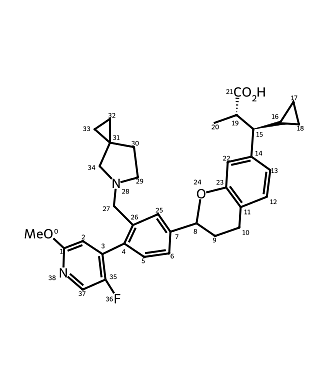 COc1cc(-c2ccc(C3CCc4ccc([C@H](C5CC5)[C@H](C)C(=O)O)cc4O3)cc2CN2CCC3(CC3)C2)c(F)cn1